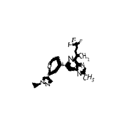 C=C(CCC(F)(F)F)c1nc([C@H]2CCO[C@@H](c3cnn(C4CC4)c3)C2)cc2nc(C)cnc12